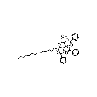 CCCCCCCCCCCCCCO[C@@H]1O[C@H](CO)[C@@H](OC(=O)c2ccccc2)[C@H](OC(=O)c2ccccc2)[C@H]1OC(=O)c1ccccc1